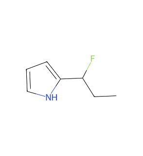 CCC(F)c1ccc[nH]1